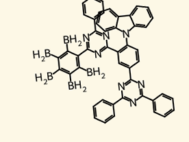 Bc1c(B)c(B)c(-c2nc(-c3ccccc3)nc(-c3cc(-c4nc(-c5ccccc5)nc(-c5ccccc5)n4)ccc3-n3c4ccccc4c4ccccc43)n2)c(B)c1B